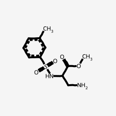 COC(=O)C(CN)NS(=O)(=O)c1cccc(C)c1